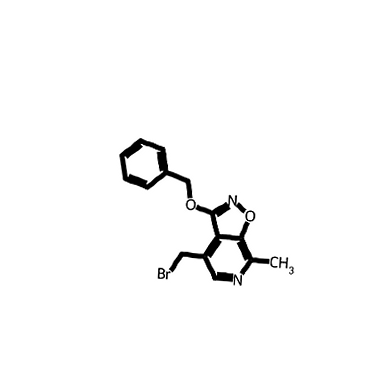 Cc1ncc(CBr)c2c(OCc3ccccc3)noc12